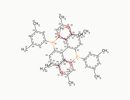 Cc1cc(C)cc(P(c2cc(C)cc(C)c2)c2cc(C)c3c(c2-c2c(P(c4cc(C)cc(C)c4)c4cc(C)cc(C)c4)cc(C)c4c2OCO4)OCO3)c1